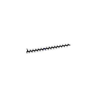 CCCCCCCCCCCCCCCCCC/C=[C]/CCCCCCCCCCCC(C)C